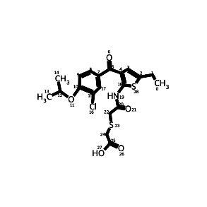 CCc1cc(C(=O)c2ccc(OC(C)C)c(Cl)c2)c(NC(=O)CSCC(=O)O)s1